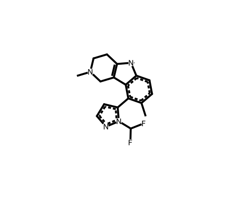 Cc1ccc2c(c1-c1ccnn1C(F)F)C1=C(CCN(C)C1)[N]2